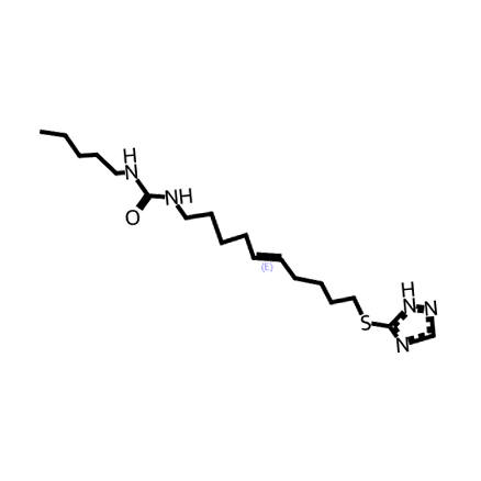 CCCCCNC(=O)NCCCC/C=C/CCCCSc1ncn[nH]1